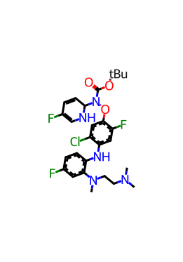 CN(C)CCN(C)c1cc(F)ccc1Nc1cc(F)c(ON(C(=O)OC(C)(C)C)C2C=CC(F)=CN2)cc1Cl